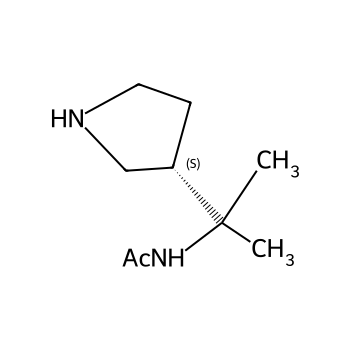 CC(=O)NC(C)(C)[C@H]1CCNC1